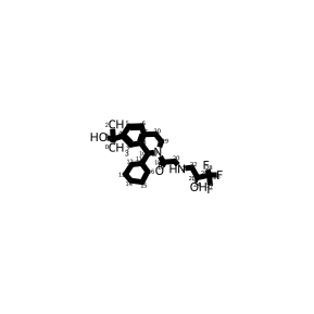 CC(C)(O)c1ccc2c(c1)C(C1CCCCC1)N(C(=O)CNC[C@H](O)C(F)(F)F)CC2